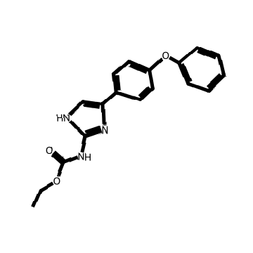 CCOC(=O)Nc1nc(-c2ccc(Oc3ccccc3)cc2)c[nH]1